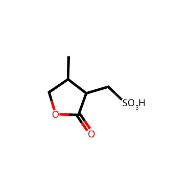 CC1COC(=O)C1CS(=O)(=O)O